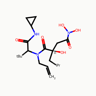 C=CCN(C(=O)[C@](O)(CC(=O)N(O)O)CC(C)C)C(C(=O)NC1CC1)C(C)(C)C